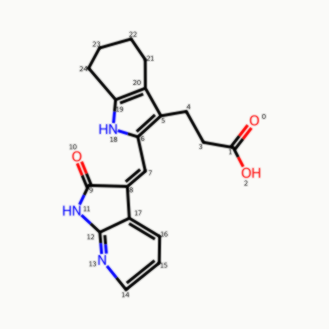 O=C(O)CCc1c(/C=C2\C(=O)Nc3ncccc32)[nH]c2c1CCCC2